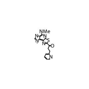 CNc1nc2sc(C(=O)CCc3ccccn3)nc2c2c1ncn2C